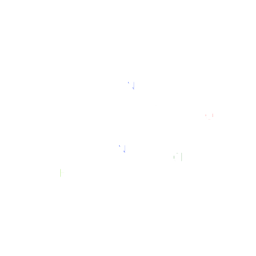 O=Cc1nc2cccc(F)c2nc1Cl